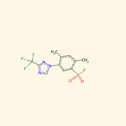 Cc1cc(C)c(S(=O)(=O)F)cc1-n1cnc(C(F)(F)F)n1